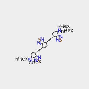 CCCCCCN(CCCCCC)c1ccc(C#Cc2ccc(C#Cc3ccc(N(CCCCCC)CCCCCC)c4nsnc34)c3nsnc23)c2nsnc12